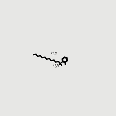 CCCCCCCCCCCCC(C)(N)c1ccccc1C.O